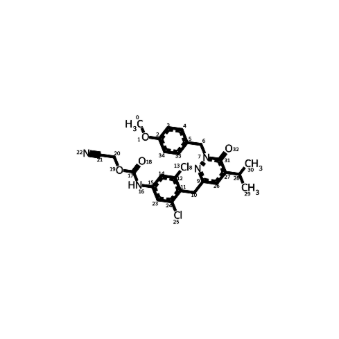 COc1ccc(Cn2nc(Cc3c(Cl)cc(NC(=O)OCC#N)cc3Cl)cc(C(C)C)c2=O)cc1